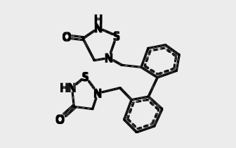 O=C1CN(Cc2ccccc2-c2ccccc2CN2CC(=O)NS2)SN1